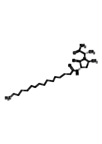 CCCCCCCCCCCCCCCC(=O)N[C@H]1CC(C)N([C@@H](C)C(N)=O)C1=O